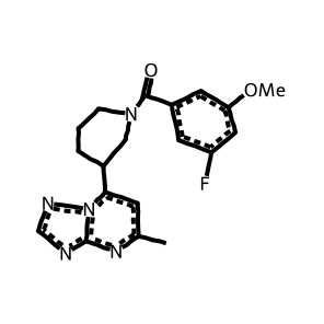 COc1cc(F)cc(C(=O)N2CCCC(c3cc(C)nc4ncnn34)C2)c1